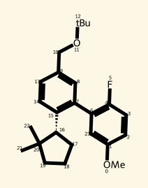 COc1ccc(F)c(-c2cc(COC(C)(C)C)ccc2[C@@H]2CCCC2(C)C)c1